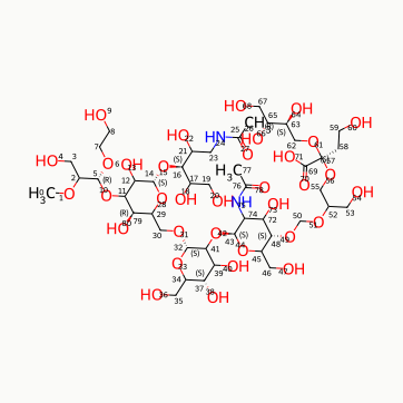 COC(CO)[C@H](OCCO)OC1C(O)[C@H](O[C@H](C(O)CO)C(O)CNC(C)=O)OC(CO[C@H]2OC(CO)[C@@H](O)C(O)C2O[C@@H]2OC(CO)[C@@H](OCOC(CO)CO[C@](CCO)(OC[C@H](O)[C@H](O)CO)C(=O)O)C(O)C2NC(C)=O)[C@H]1O